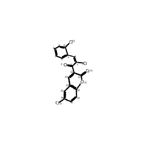 O=C(/C(Cl)=C\c1ccccc1Cl)c1cc2cc(Cl)ccc2oc1=O